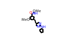 CONC(=O)c1cc(CCc2cnc(Nc3ccccc3)nc2)cc(OC)c1